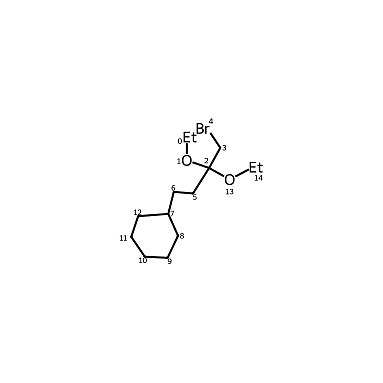 CCOC(CBr)(CCC1CCCCC1)OCC